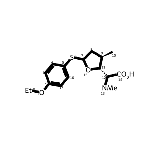 CCOc1ccc(SC2C[C@@H](C)[C@H](C(NC)C(=O)O)O2)cc1